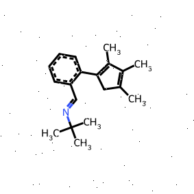 CC1=C(C)C(C)=C(c2ccccc2C=NC(C)(C)C)C1